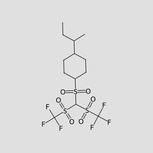 CCC(C)C1CCC(S(=O)(=O)C(S(=O)(=O)C(F)(F)F)S(=O)(=O)C(F)(F)F)CC1